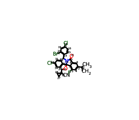 C=C(C)c1cc(F)c2c(c1)C(=O)N(Cc1ccc(Cl)cc1Br)C2(OCC1(C#N)CC1)c1ccc(Cl)cc1